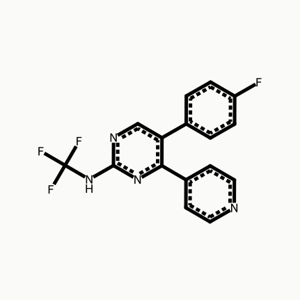 Fc1ccc(-c2cnc(NC(F)(F)F)nc2-c2ccncc2)cc1